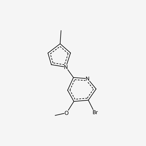 COc1cc(-n2ccc(C)c2)ncc1Br